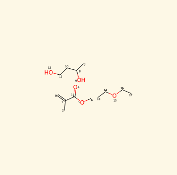 C=C(C)C(=O)OC.CC(O)CCO.CCOCC